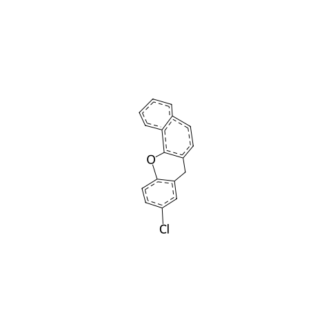 Clc1ccc2c(c1)Cc1ccc3ccccc3c1O2